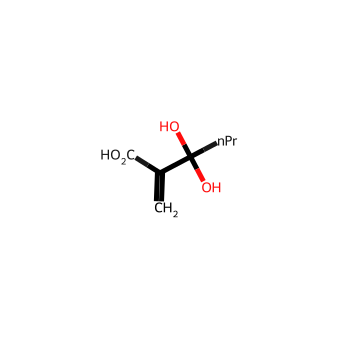 C=C(C(=O)O)C(O)(O)CCC